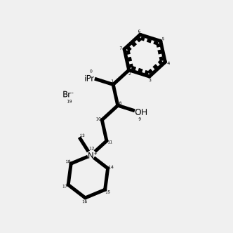 CC(C)C(c1ccccc1)C(O)CC[N+]1(C)CCCCC1.[Br-]